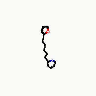 [CH](CCCc1ccco1)Cc1ccccn1